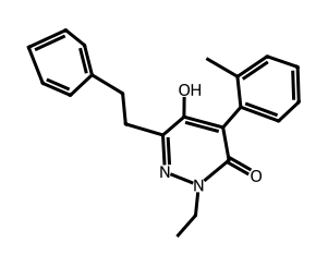 CCn1nc(CCc2ccccc2)c(O)c(-c2ccccc2C)c1=O